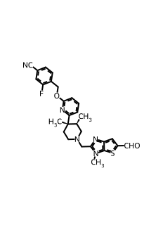 C[C@H]1CN(Cc2nc3cc(C=O)sc3n2C)CC[C@]1(C)c1cccc(OCc2ccc(C#N)cc2F)n1